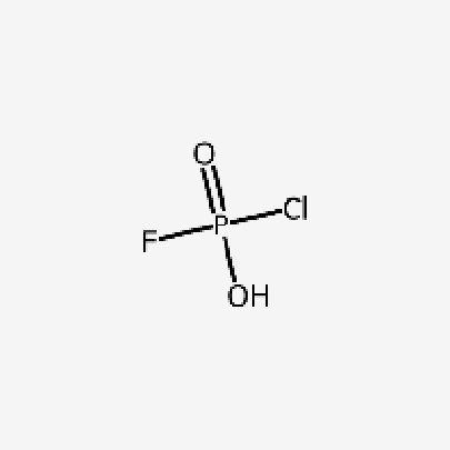 O=P(O)(F)Cl